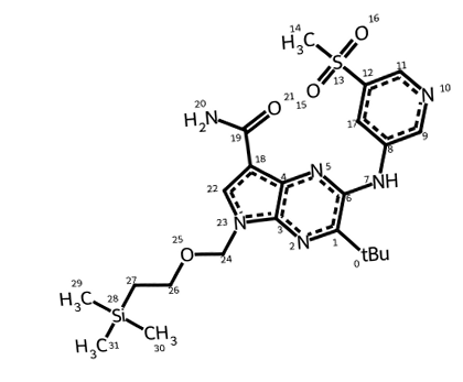 CC(C)(C)c1nc2c(nc1Nc1cncc(S(C)(=O)=O)c1)c(C(N)=O)cn2COCC[Si](C)(C)C